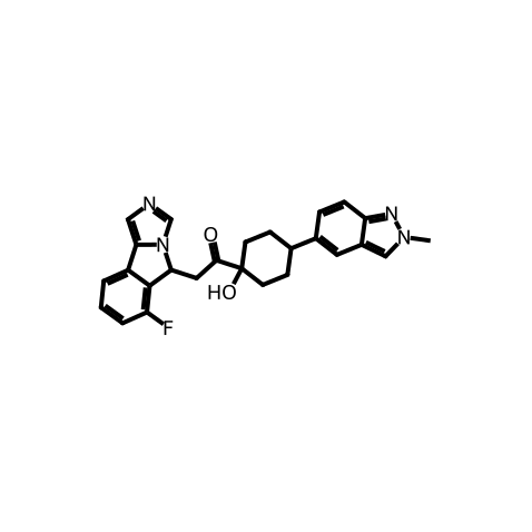 Cn1cc2cc(C3CCC(O)(C(=O)CC4c5c(F)cccc5-c5cncn54)CC3)ccc2n1